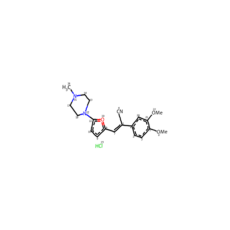 COc1ccc(C(C#N)=Cc2ccc(N3CCN(C)CC3)o2)cc1OC.Cl